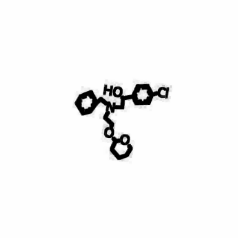 OC(CN(CCOC1CCCCO1)Cc1ccccc1)c1ccc(Cl)cc1